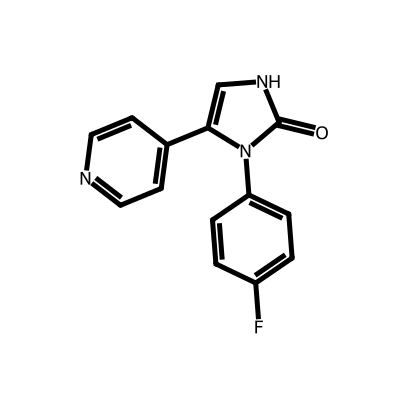 O=c1[nH]cc(-c2ccncc2)n1-c1ccc(F)cc1